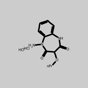 CCCOC1C(=O)Nc2ccccc2N(N)C1=O.Cl.Cl